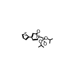 CC(C)OP(=O)(Cn1ccc(-c2cccs2)cc1=O)OC(C)C